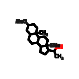 COC1CCC2(C)C(CCC3C2CCC2(SC)C(C(C)O)CCC32)C1